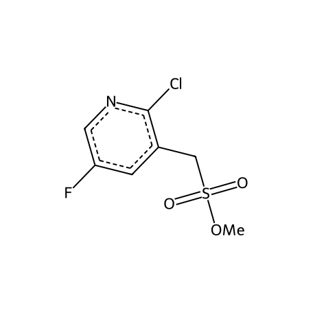 COS(=O)(=O)Cc1cc(F)cnc1Cl